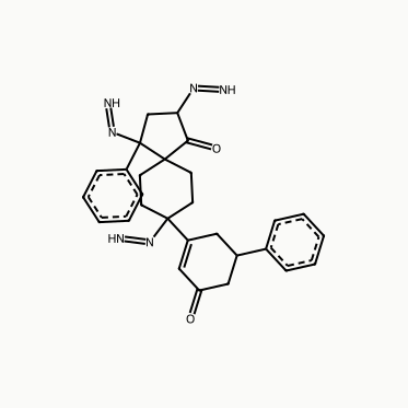 N=NC1CC(N=N)(c2ccccc2)C2(CCC(N=N)(C3=CC(=O)CC(c4ccccc4)C3)CC2)C1=O